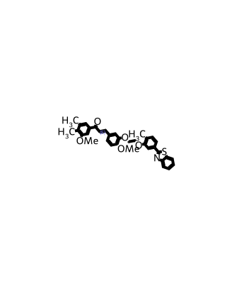 COc1ccc(/C=C/C(=O)c2cc(C)c(C)c(OC)c2)cc1OCCOc1cc(-c2nc3ccccc3s2)ccc1C